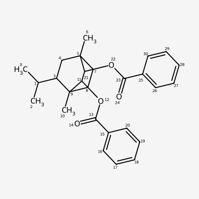 CC(C)C1CC2(C)CCC1(C)C(OC(=O)c1ccccc1)C2OC(=O)c1ccccc1